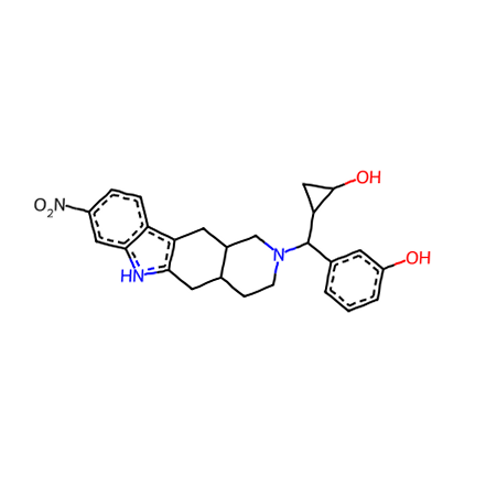 O=[N+]([O-])c1ccc2c3c([nH]c2c1)CC1CCN(C(c2cccc(O)c2)C2CC2O)CC1C3